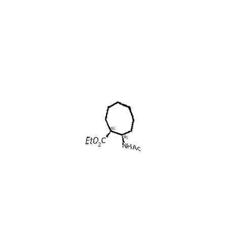 CCOC(=O)[C@H]1CCCCCC[C@H]1NC(C)=O